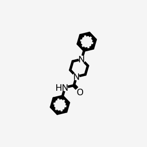 O=C(Nc1ccccc1)N1CCN(c2ccccc2)CC1